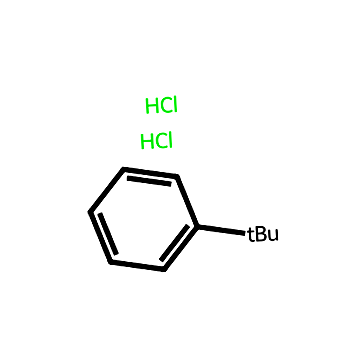 CC(C)(C)c1ccccc1.Cl.Cl